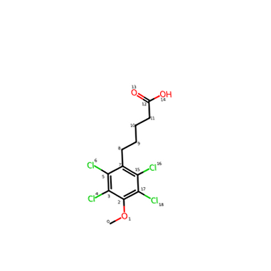 COc1c(Cl)c(Cl)c(CCCCC(=O)O)c(Cl)c1Cl